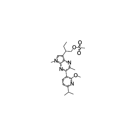 CCC(COS(C)(=O)=O)c1cn(C)c2nc(-c3ccc(C(C)C)nc3OC)c(C)nc12